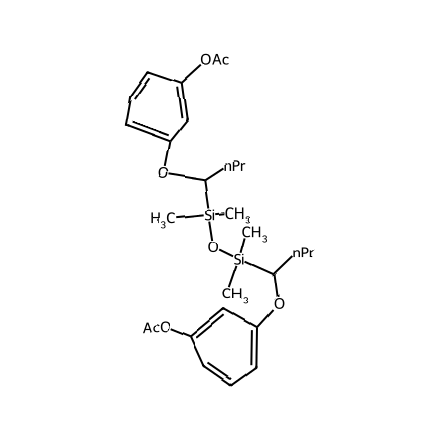 CCCC(Oc1cccc(OC(C)=O)c1)[Si](C)(C)O[Si](C)(C)C(CCC)Oc1cccc(OC(C)=O)c1